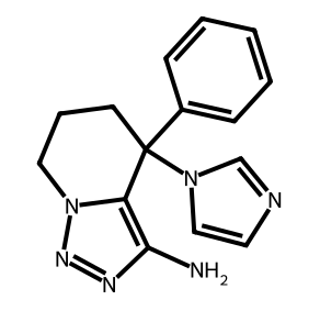 Nc1nnn2c1C(c1ccccc1)(n1ccnc1)CCC2